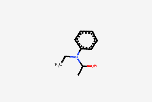 CC(O)N(CC(F)(F)F)c1ccccc1